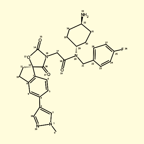 Cn1cc(-c2ccc3c(c2)CC[C@@]32OC(=O)N(CC(=O)N(Cc3ccc(F)cc3)[C@H]3CC[C@H](N)CC3)C2=O)cn1